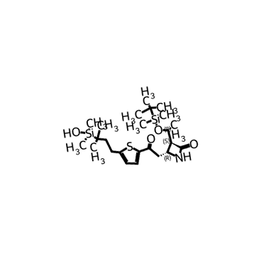 C[C@@H](O[Si](C)(C)C(C)(C)C)[C@H]1C(=O)N[C@@H]1CC(=O)c1ccc(CCC(C)(C)[Si](C)(C)O)s1